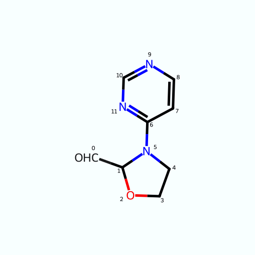 O=CC1OCCN1c1ccncn1